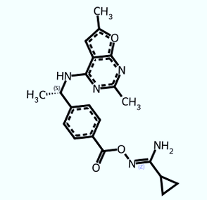 Cc1nc(N[C@@H](C)c2ccc(C(=O)O/N=C(\N)C3CC3)cc2)c2cc(C)oc2n1